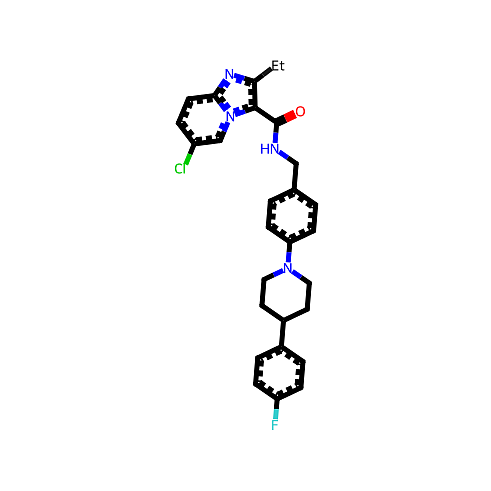 CCc1nc2ccc(Cl)cn2c1C(=O)NCc1ccc(N2CCC(c3ccc(F)cc3)CC2)cc1